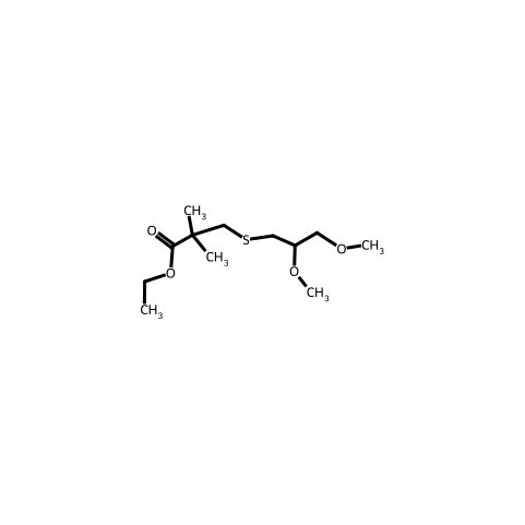 CCOC(=O)C(C)(C)CSCC(COC)OC